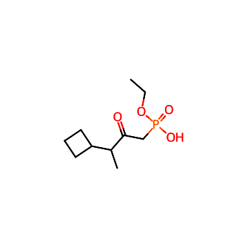 CCOP(=O)(O)CC(=O)C(C)C1CCC1